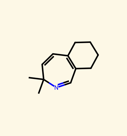 CC1(C)C=CC2=C(C=N1)CCCC2